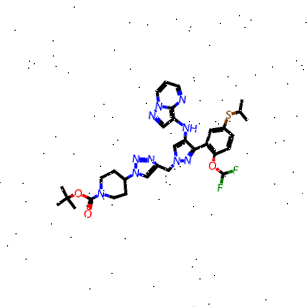 CC(C)Sc1ccc(OC(F)F)c(-c2nn(Cc3cn(C4CCN(C(=O)OC(C)(C)C)CC4)nn3)cc2Nc2cnn3cccnc23)c1